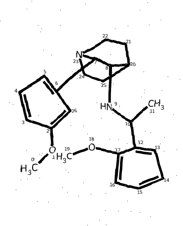 COc1cccc(C2C(NC(C)c3ccccc3OC)C3CCN2CC3)c1